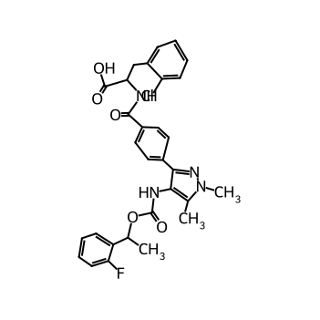 Cc1c(NC(=O)OC(C)c2ccccc2F)c(-c2ccc(C(=O)NC(Cc3ccccc3Cl)C(=O)O)cc2)nn1C